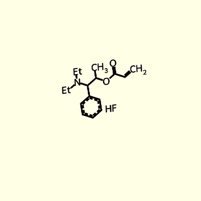 C=CC(=O)OC(C)C(c1ccccc1)N(CC)CC.F